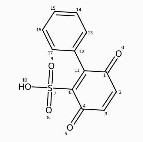 O=C1C=CC(=O)C(S(=O)(=O)O)=C1c1ccccc1